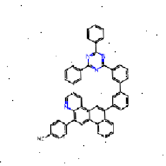 N#Cc1ccc(-c2cc3c4ccccc4c(-c4cccc(-c5cccc(-c6nc(-c7ccccc7)nc(-c7ccccc7)n6)c5)c4)cc3c3cccnc23)cc1